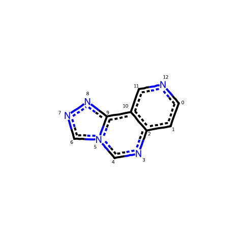 c1cc2ncn3cnnc3c2cn1